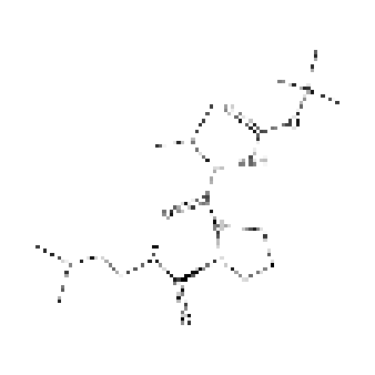 CC(C)CCNC(=O)[C@@H]1CCCN1C(=O)[C@@H](NC(=O)OC(C)(C)C)C(C)C